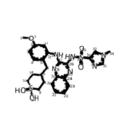 COc1ccc(CC2CCS(O)(O)CC2)c(Nc2nc3ccccc3nc2NS(=O)(=O)c2cn(C)cn2)c1